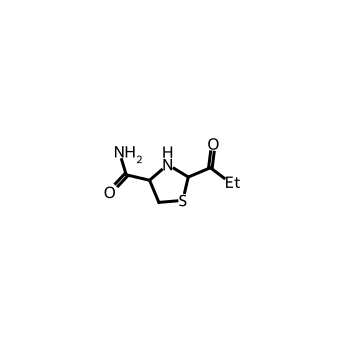 CCC(=O)C1NC(C(N)=O)CS1